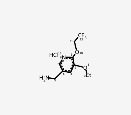 CCOc1cc(CN)cnc1OCC(F)(F)F.Cl